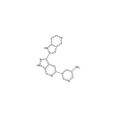 Nc1cncc(-c2cc3c(-c4cc5cnccc5[nH]4)n[nH]c3cn2)c1